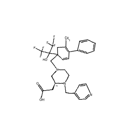 CC1=C(c2ccccc2)C=CC(CN2CCN(Cc3ccncc3)[C@@H](CC(=O)O)C2)(C(O)(C(F)(F)F)C(F)(F)F)C1